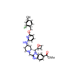 COC(=O)c1ccc2nc(CN3CCC(Nc4cccc(OCc5ccc(C#N)cc5F)n4)CC3)n(C[C@@H]3CCO3)c2c1